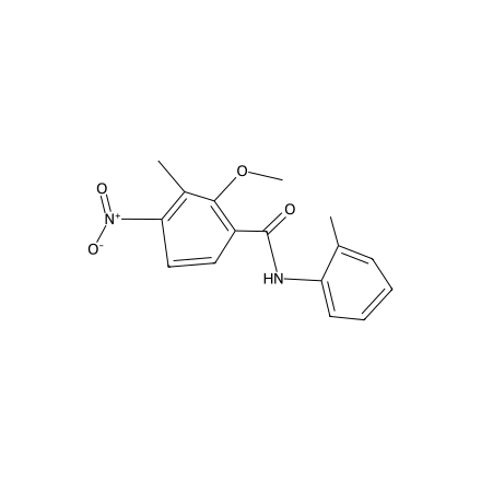 COc1c(C(=O)Nc2ccccc2C)ccc([N+](=O)[O-])c1C